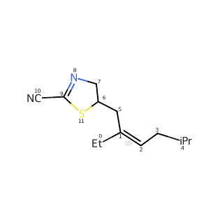 CC/C(=C/CC(C)C)CC1CN=C(C#N)S1